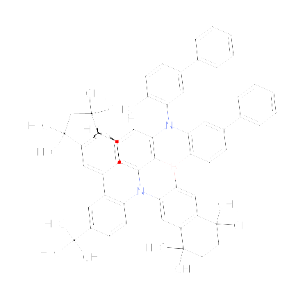 Cc1cc2c3c(c1)N(c1ccc(C(C)(C)C)cc1-c1ccc4c(c1)C(C)(C)CC4(C)C)c1cc4c(cc1B3c1ccc(-c3ccccc3)cc1N2c1cc(-c2ccccc2)ccc1C)C(C)(C)CCC4(C)C